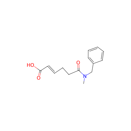 CN(Cc1ccccc1)C(=O)CCC=CC(=O)O